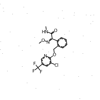 CNC(=O)C(=NOC)c1ccccc1COc1ncc(C(F)(F)F)cc1Cl